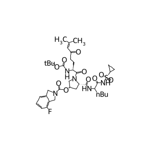 CCCCC(NC(=O)[C@@H]1C[C@@H](OC(=O)N2Cc3cccc(F)c3C2)CN1C(=O)[C@H](CCC(=O)C=C(C)C)NC(=O)OC(C)(C)C)C(=O)NS(=O)(=O)C1CC1